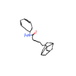 O=C(CCCC12CC3CC(CC(C3)C1)C2)Nc1ccccc1